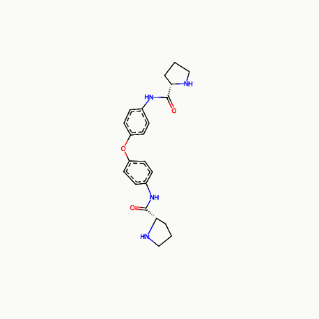 O=C(Nc1ccc(Oc2ccc(NC(=O)[C@@H]3CCCN3)cc2)cc1)[C@@H]1CCCN1